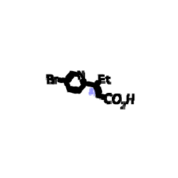 CC/C(=C\C(=O)O)c1ccc(Br)cn1